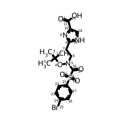 CC(C)(C)ON(CCc1nc(C(=O)O)c[nH]1)C(=O)S(=O)(=O)c1ccc(Br)cc1